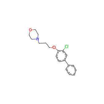 Clc1cc(-c2ccccc2)ccc1OCCCN1CCOCC1